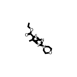 CCOC(=O)c1sc2nc(N3CCOCC3)sc2c1C